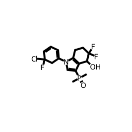 CP(C)(=O)c1cn(C2=CC=CC(F)(Cl)C2)c2c1C(O)C(F)(F)CC2